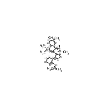 Cc1cc2c(N[C@H](C)c3ccc(-c4ccccc4CN(C)C)s3)nnc(C(C)C)c2cc1C